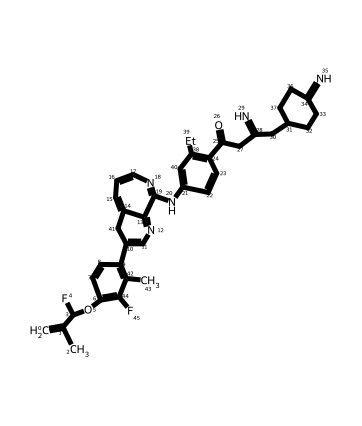 C=C(C)C(F)Oc1ccc(C2=CN=C3C(=CC=CN=C3Nc3ccc(C(=O)CC(=N)CC4CCC(=N)CC4)c(CC)c3)C2)c(C)c1F